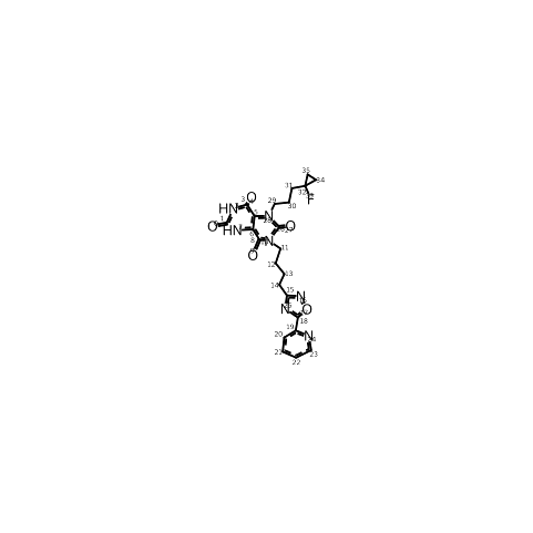 O=c1[nH]c(=O)c2c([nH]1)c(=O)n(CCCCc1noc(-c3ccccn3)n1)c(=O)n2CCCC1(F)CC1